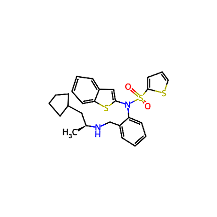 C[C@@H](CC1CCCC1)NCc1ccccc1N(c1cc2ccccc2s1)S(=O)(=O)c1cccs1